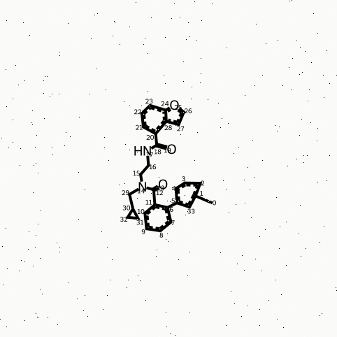 Cc1cccc(-c2ccccc2C(=O)N(CCNC(=O)c2cccc3occc23)CC2CC2)c1